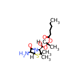 CCCCCC(=O)OC(C)(C)OC(=O)[C@@H]1N2C(=O)C(N)[C@H]2SC1(C)C